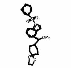 COC(c1cccc2c1ccn2S(=O)(=O)c1ccccc1)C1CCC2(CC1)OCCO2